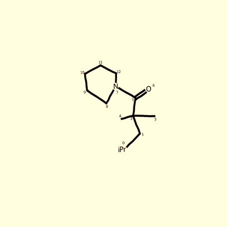 CC(C)CC(C)(C)C(=O)N1CCCCC1